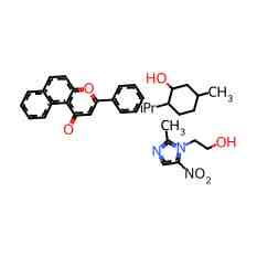 CC1CCC(C(C)C)C(O)C1.Cc1ncc([N+](=O)[O-])n1CCO.O=c1cc(-c2ccccc2)oc2ccc3ccccc3c12